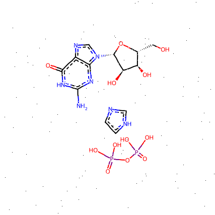 Nc1nc2c(ncn2[C@@H]2O[C@H](CO)[C@@H](O)[C@H]2O)c(=O)[nH]1.O=P(O)(O)OP(=O)(O)O.c1c[nH]cn1